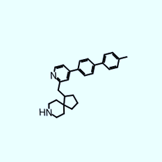 Cc1ccc(-c2ccc(-c3ccnc(CC4CCCC45CCNCC5)c3)cc2)cc1